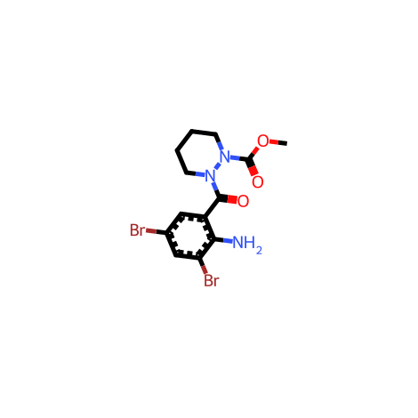 COC(=O)N1CCCCN1C(=O)c1cc(Br)cc(Br)c1N